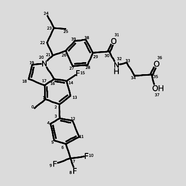 Cc1c(-c2ccc(C(F)(F)F)cc2)cc(F)c2c1ccn2C(CC(C)C)c1ccc(C(=O)NCCC(=O)O)cc1